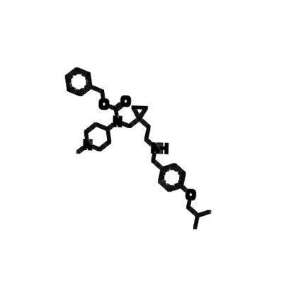 CC(C)COc1ccc(CNCCC2(CN(C(=O)OCc3ccccc3)C3CCN(C)CC3)CC2)cc1